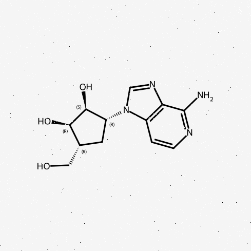 Nc1nccc2c1ncn2[C@@H]1C[C@H](CO)[C@@H](O)[C@H]1O